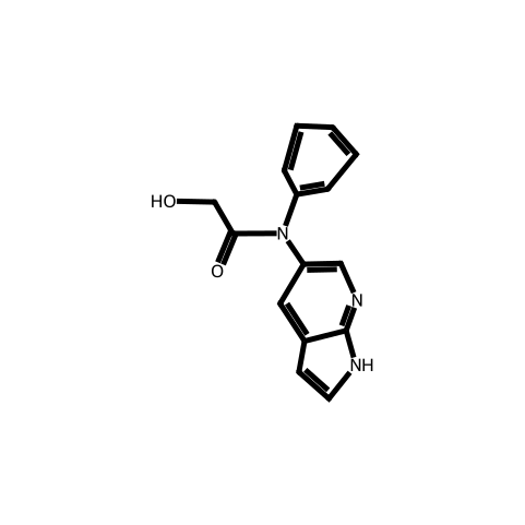 O=C(CO)N(c1ccccc1)c1cnc2[nH]ccc2c1